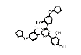 OC1=C(c2nc(-c3ccc(O)cc3O)nc(-c3ccc(OC4CCCC4)cc3O)n2)C=CC(OC2CCCC2)C1